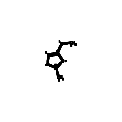 CSC1=NC[C@H](C)O1